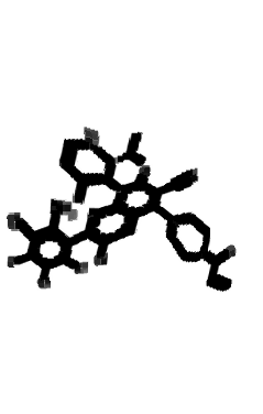 C=CC(=O)N1CCN(c2c(C#N)c(=O)n(C3=C(C)C=CN[C@@H]3C(C)C)c3nc(-c4c(N)c(Cl)c(F)c(Cl)c4Cl)c(Cl)cc23)CC1